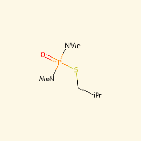 CNP(=O)(NC)SCC(C)C